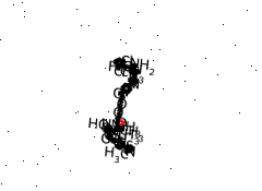 Cc1ncsc1-c1ccc(CNC(=O)[C@@H]2C[C@@H](O)CN2C(=O)C(NC(=O)CCOCCOCCC(=O)N2CCC(n3cc(-c4cnc(N)c(O[C@H](C)c5c(Cl)ccc(F)c5Cl)c4)cn3)CC2)C(C)(C)C)cc1